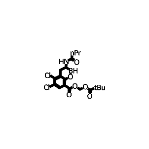 CCCC(=O)NC1BOc2c(C(=O)OCOC(=O)C(C)(C)C)cc(Cl)c(Cl)c2C1